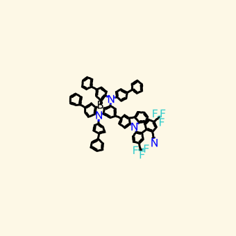 N#Cc1cc(C(F)(F)F)ccc1-c1cc(C(F)(F)F)ccc1-n1c2ccccc2c2cc(-c3cc4c5c(c3)N(c3ccc(-c6ccccc6)cc3)c3ccc(-c6ccccc6)cc3B5c3cc(-c5ccccc5)ccc3N4c3ccc(-c4ccccc4)cc3)ccc21